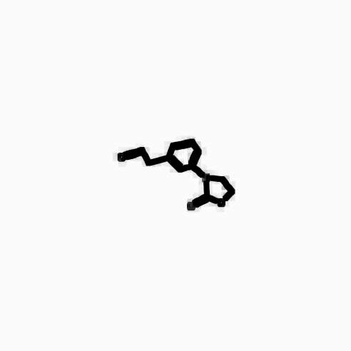 O=CCc1cccc(N2CCOC2=O)c1